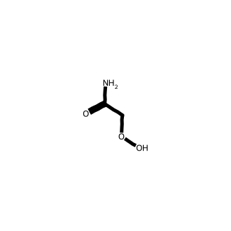 NC(=O)COO